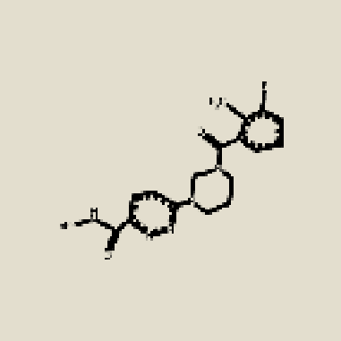 CCCNC(=O)c1ccc(N2CCCN(C(=O)c3cccc(F)c3C(F)(F)F)C2)nn1